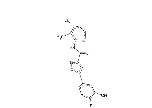 Cc1c(Cl)cccc1NC(=O)c1cc(-c2ccc(F)c(O)c2)on1